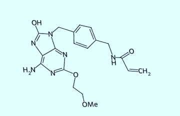 C=CC(=O)NCc1ccc(Cn2c(O)nc3c(N)nc(OCCOC)nc32)cc1